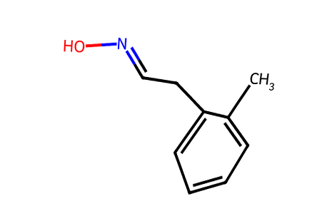 Cc1ccccc1CC=NO